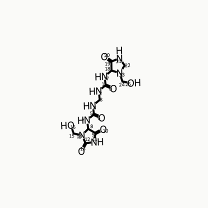 O=C(NCNC(=O)NC1C(=O)NC(=O)N1CO)NC1C(=O)NCN1CO